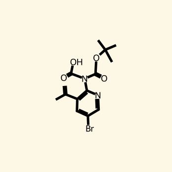 C=C(C)c1cc(Br)cnc1N(C(=O)O)C(=O)OC(C)(C)C